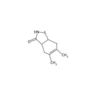 CC1=C(C)CC2C(=O)NSC2C1